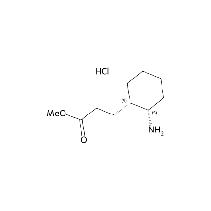 COC(=O)CC[C@@H]1CCCC[C@@H]1N.Cl